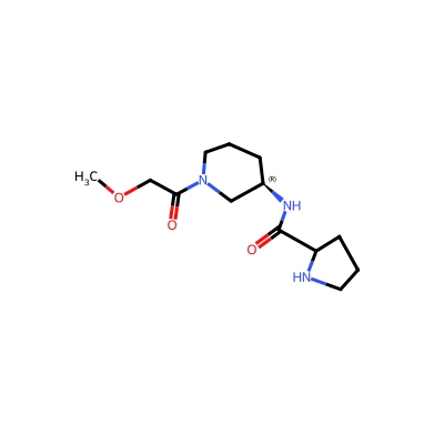 COCC(=O)N1CCC[C@@H](NC(=O)C2CCCN2)C1